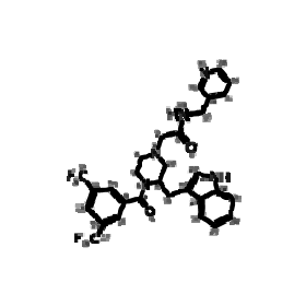 O=C(CN1CCN(C(=O)c2cc(C(F)(F)F)cc(C(F)(F)F)c2)C(Cc2c[nH]c3ccccc23)C1)NCc1cccnc1